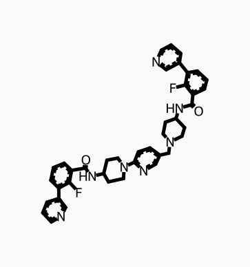 O=C(NC1CCN(Cc2ccc(N3CCC(NC(=O)c4cccc(-c5cccnc5)c4F)CC3)nc2)CC1)c1cccc(-c2cccnc2)c1F